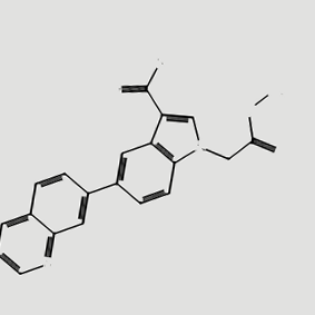 CC(C)(C)OC(=O)Cn1cc(C(N)=O)c2cc(-c3ccc4cccnc4c3)ccc21